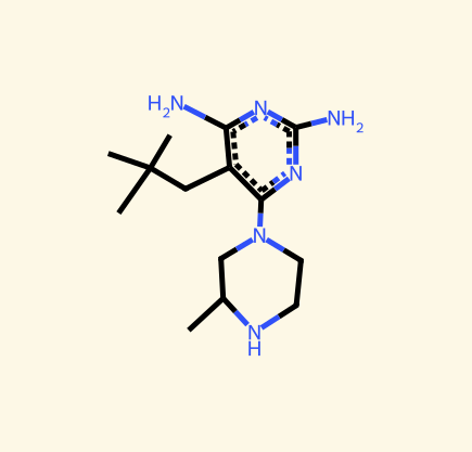 CC1CN(c2nc(N)nc(N)c2CC(C)(C)C)CCN1